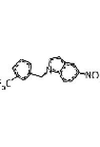 O=[N+]([O-])c1ccc2c(ccn2Cc2cccc(C(F)(F)F)c2)c1